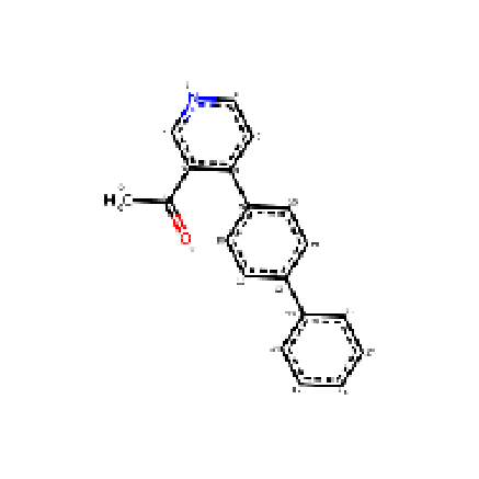 CC(=O)c1cnccc1-c1ccc(-c2ccccc2)cc1